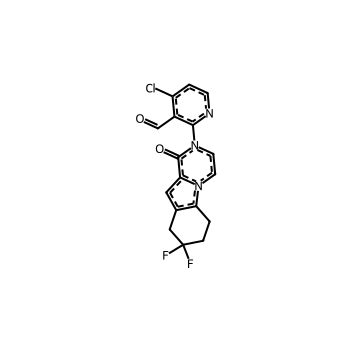 O=Cc1c(Cl)ccnc1-n1ccn2c3c(cc2c1=O)CC(F)(F)CC3